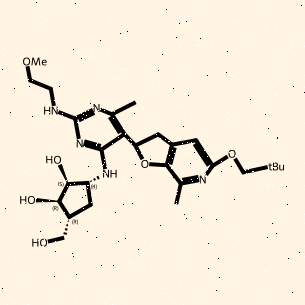 COCCNc1nc(C)c(C2Cc3cc(OCC(C)(C)C)nc(C)c3O2)c(N[C@@H]2C[C@H](CO)[C@@H](O)[C@H]2O)n1